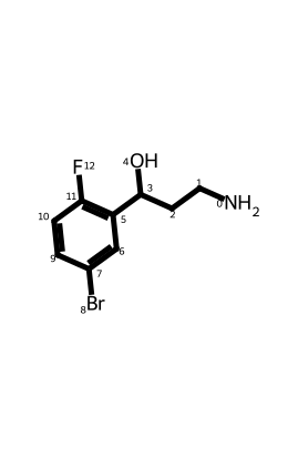 NCCC(O)c1cc(Br)ccc1F